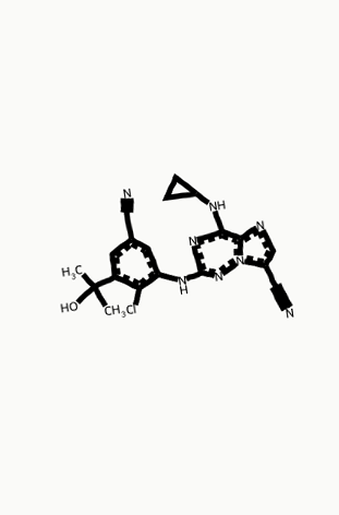 CC(C)(O)c1cc(C#N)cc(Nc2nc(NC3CC3)c3ncc(C#N)n3n2)c1Cl